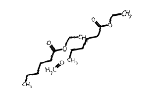 C=O.CCCCCC(=O)OCC.CCCCCC(=O)OCC